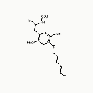 CCC(Cc1cc(OC)c(SCCCCCF)cc1OC)NC(=O)O